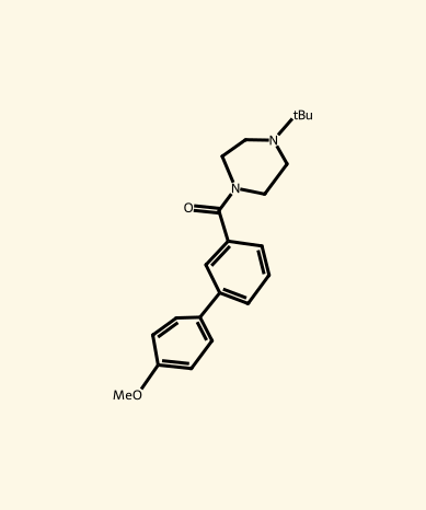 COc1ccc(-c2cccc(C(=O)N3CCN(C(C)(C)C)CC3)c2)cc1